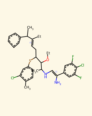 CCOC(C(C)N/C=C(\N)c1cc(F)c(Cl)c(F)c1)C(C/C=C(\CC)C(C)c1ccccc1)Sc1ccc(C)c(Cl)c1